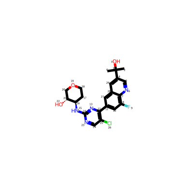 CC(C)(O)c1cnc2c(F)cc(-c3nc(N[C@@H]4CCOC[C@H]4O)ncc3Cl)cc2c1